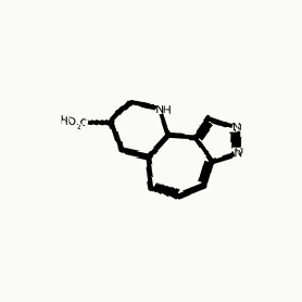 O=C(O)C1CNC2C3=CN=NC3=CC=CC2C1